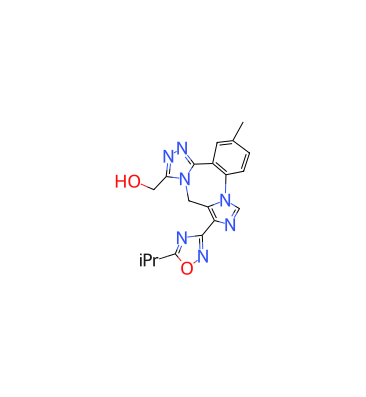 Cc1ccc2c(c1)-c1nnc(CO)n1Cc1c(-c3noc(C(C)C)n3)ncn1-2